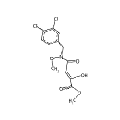 COC(=O)C(O)=CC(=O)N(Cc1ccc(Cl)c(Cl)c1)OC